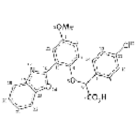 COc1ccc(OC(C(=O)O)c2ccc(Cl)cc2)c(-c2nc3ccccc3o2)c1